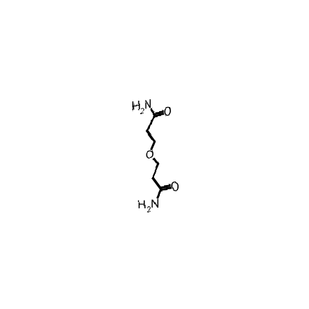 NC(=O)CCOCCC(N)=O